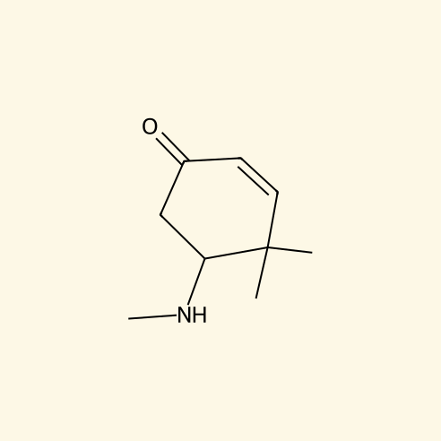 CNC1CC(=O)C=CC1(C)C